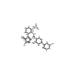 Cc1ccnc(-c2ccc(OCc3c(C4CC4)cccc3-n3nnn(C)c3=O)c(C)c2)c1